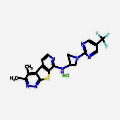 Cc1nnc2sc3c(NC4CN(c5ncc(C(F)(F)F)cn5)C4)nccc3c2c1C.Cl